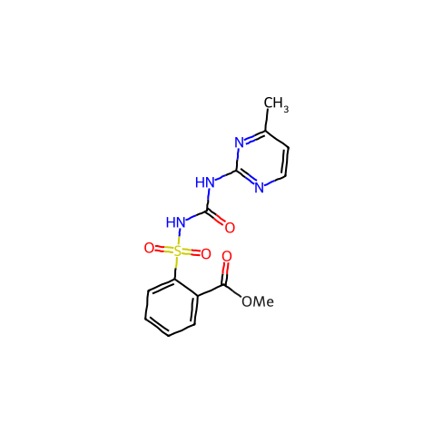 COC(=O)c1ccccc1S(=O)(=O)NC(=O)Nc1nccc(C)n1